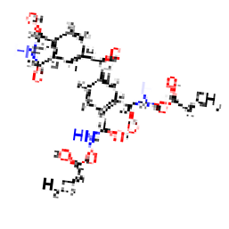 C=CC(=O)ONC(=O)c1ccc(C(=O)c2ccc3c(c2)C(=O)NC3=O)cc1C(=O)NOC(=O)C=C